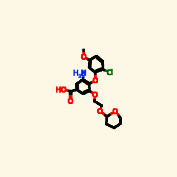 COc1ccc(Cl)c(Oc2c(N)cc(C(=O)O)cc2OCCOC2CCCCO2)c1